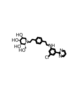 OC[C@@H]1[C@@H](O)[C@H](O)[C@@H](O)CN1CCc1ccc(CCNc2cc(Cl)cc(-c3ncccn3)c2)cc1